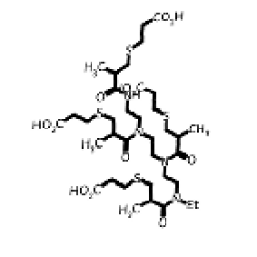 CCN(CCN(CCN(CCNC(=O)C(C)CSCCC(=O)O)C(=O)C(C)CSCCC(=O)O)C(=O)C(C)CSCCC(=O)O)C(=O)C(C)CSCCC(=O)O